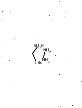 CCCCCS(=O)(=O)O.NN